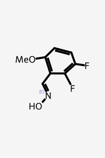 COc1ccc(F)c(F)c1/C=N/O